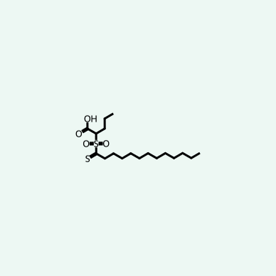 CCCCCCCCCCCCC(=S)S(=O)(=O)C(CCC)C(=O)O